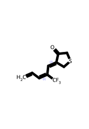 C=C/C=C(\C=C1/CSCC1=O)C(F)(F)F